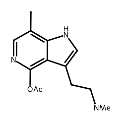 CNCCc1c[nH]c2c(C)cnc(OC(C)=O)c12